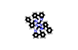 N#Cc1nc(N(Cc2ccccc2-c2ccccc2)Cc2ccccc2-c2ccccc2)c(C#N)nc1N(Cc1ccccc1-c1ccccc1)Cc1ccccc1-c1ccccc1